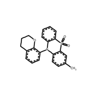 Cc1ccc2c(c1)S(=O)(=O)c1ccccc1N2c1cccc2c1OCCC2